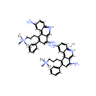 CC[N+](C)(CC)CCCc1c(-c2ccccc2)cc(N)c2cnc3ccc(N)cc3c12.CC[N+](C)(CC)CCCc1c(-c2ccccc2)cc(N)c2cnc3ccc(N)cc3c12.[I-].[I-]